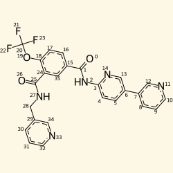 O=C(Nc1ccc(-c2cccnc2)cn1)c1ccc(OC(F)(F)F)c(C(=O)NCc2cccnc2)c1